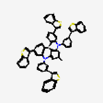 Cc1cc2c3c(c1)N(c1cccc(-c4csc5ccccc45)c1)c1cc(-c4csc5ccccc45)ccc1B3c1ccc(-c3csc4ccccc34)cc1N2c1cccc(-c2csc3ccccc23)c1